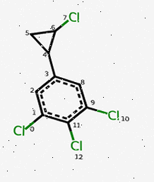 Clc1cc(C2CC2Cl)cc(Cl)c1Cl